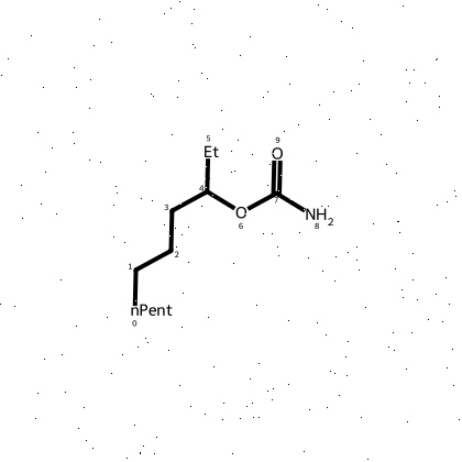 CCCCCCCCC(CC)OC(N)=O